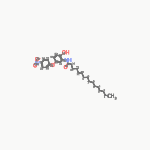 CCCCCCCCCCCCCCCC(=O)Nc1cc(Oc2ccc([N+](=O)[O-])cc2)ccc1O